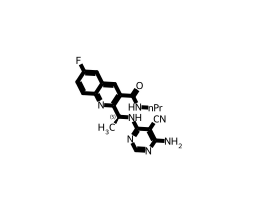 CCCNC(=O)c1cc2cc(F)ccc2nc1[C@H](C)Nc1ncnc(N)c1C#N